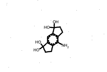 Nc1c2c(cc3c1CCC3(O)O)C(O)(O)CC2